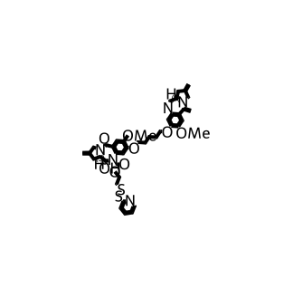 C=C1C[C@H]2C=Nc3cc(OCCCCCOc4cc5c(cc4OC)C(=O)N4CC(=C)C[C@H]4[C@H](O)N5C(=O)OCCSSc4ccccn4)c(OC)cc3C(=C)N2C1